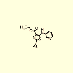 CCOC(=O)c1nc(C2CC2)sc1Nc1cccnc1